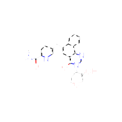 CN(C)C(=O)c1ccc(Cc2cc3c(=O)n([C@H]4CCOC[C@@H]4O)cnc3c3ccccc23)cn1